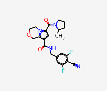 CC1CCCN1C(=O)c1cc(C(=O)NCc2cc(F)c(C#N)c(F)c2)c2n1CCOC2